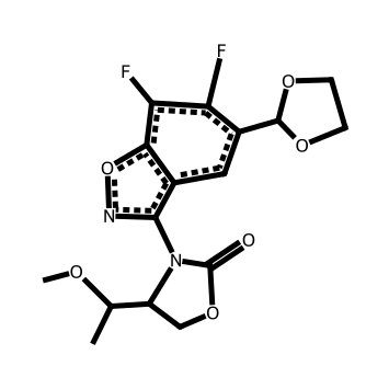 COC(C)C1COC(=O)N1c1noc2c(F)c(F)c(C3OCCO3)cc12